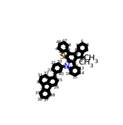 CC1(C)c2ccccc2-c2c1c1c3ccccc3n(-c3cccc(-c4ccc5c6c(cccc46)-c4ccccc4-5)c3)c1c1sc3ccccc3c21